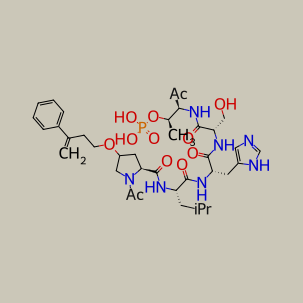 C=C(CCOC1C[C@@H](C(=O)N[C@@H](CC(C)C)C(=O)N[C@@H](Cc2cnc[nH]2)C(=O)N[C@@H](CO)C(=O)N[C@H](C(C)=O)[C@@H](C)OP(=O)(O)O)N(C(C)=O)C1)c1ccccc1